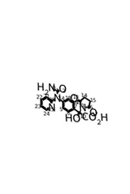 NC(=O)N(c1ccc(C(O)(C(=O)O)N2C(=O)CCC2=O)cc1)c1ccccn1